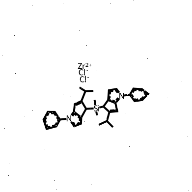 CC(C)C1=Cc2c(ccn2-c2ccccc2)C1[Si](C)(C)C1C(C(C)C)=Cc2c1ccn2-c1ccccc1.[Cl-].[Cl-].[Zr+2]